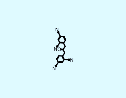 N#Cc1ccc(CC(=O)Cc2ccc(C#N)cc2C#N)c(C#N)c1